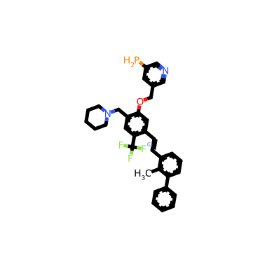 Cc1c(/C=C/c2cc(OCc3cncc(P)c3)c(CN3CCCCC3)cc2C(F)(F)F)cccc1-c1ccccc1